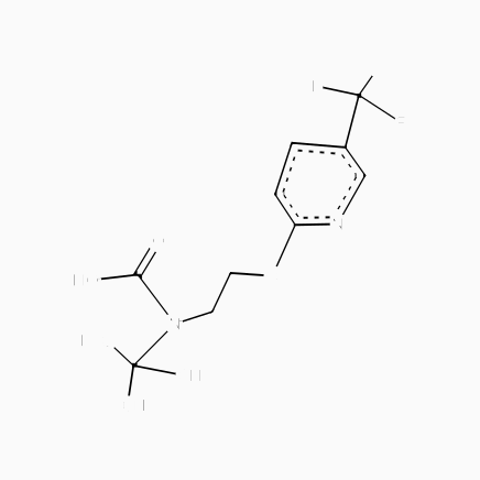 CC(C)(C)N(CCOc1ccc(C(F)(F)F)cn1)C(=O)O